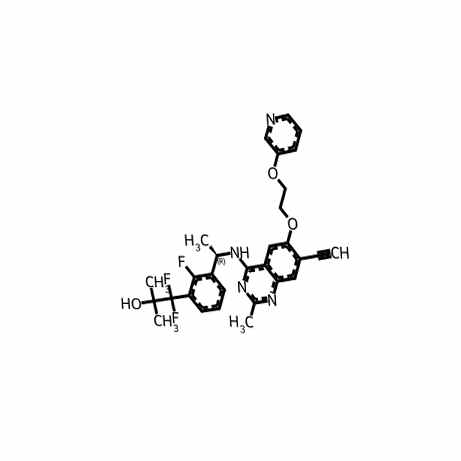 C#Cc1cc2nc(C)nc(N[C@H](C)c3cccc(C(F)(F)C(C)(C)O)c3F)c2cc1OCCOc1cccnc1